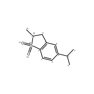 CC(C)c1ccc2c(c1)CN(C)S2(=O)=O